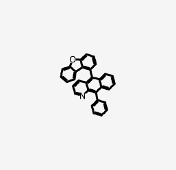 c1ccc(-c2c3ccccc3c(-c3cccc4oc5ccccc5c34)c3cccnc23)cc1